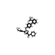 CCC#Cc1nc(C(=O)C2CCCCC2)nn1Cc1ccc(-c2ccccc2C(=O)O)cc1